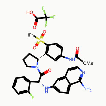 COC(=O)Nc1ccc(S(=O)(=O)C(C)C)c([C@H]2CCCN2C(=O)[C@H](Nc2ccc3c(N)nccc3c2)c2ccccc2F)c1.O=C(O)C(F)(F)F